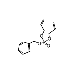 C=CCOP(=O)(OCC=C)OCc1ccccc1